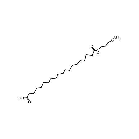 COCCCNC(=O)CCCCCCCCCCCCCCCCCCC(=O)O